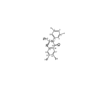 Cc1cc(C)cc(-n2c(C(C)C)nc3cc(F)c(I)cc3c2=O)c1